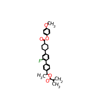 C=C(C)C(=O)OC(C)c1ccc(-c2ccc(C3CCC(C(=O)Oc4ccc(OC)cc4)CC3)cc2F)cc1